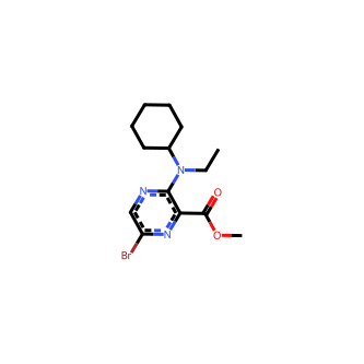 CCN(c1ncc(Br)nc1C(=O)OC)C1CCCCC1